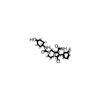 NC(=O)c1c(-c2cccc(F)c2)c(Cl)n2c1CN(C(=O)NC1CCC(O)CC1)CC2